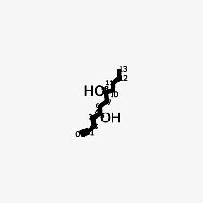 C#CCCC(O)CCC(O)CCCC